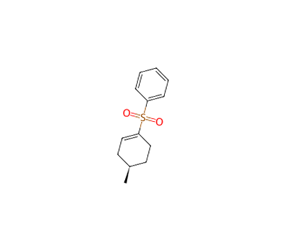 C[C@H]1CC=C(S(=O)(=O)c2ccccc2)CC1